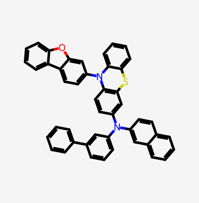 c1ccc(-c2cccc(N(c3ccc4c(c3)Sc3ccccc3N4c3ccc4c(c3)oc3ccccc34)c3ccc4ccccc4c3)c2)cc1